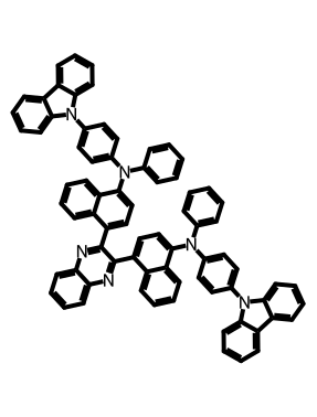 c1ccc(N(c2ccc(-n3c4ccccc4c4ccccc43)cc2)c2ccc(-c3nc4ccccc4nc3-c3ccc(N(c4ccccc4)c4ccc(-n5c6ccccc6c6ccccc65)cc4)c4ccccc34)c3ccccc23)cc1